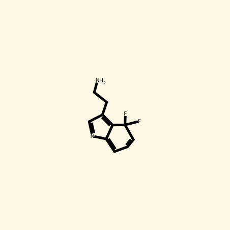 NCCC1=C2C(=CC=CC2(F)F)N=C1